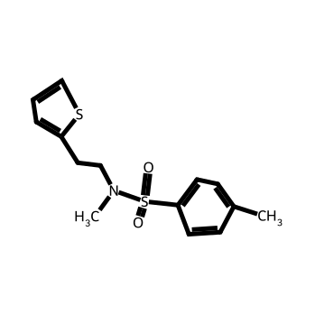 Cc1ccc(S(=O)(=O)N(C)CCc2cccs2)cc1